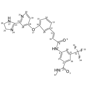 CNC(=O)c1cc(NC(=O)/C=C/c2cccc(Oc3ccnc(C4=NCCN4)c3)c2)cc(C(F)(F)F)c1